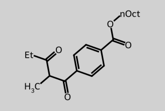 CCCCCCCCOC(=O)c1ccc(C(=O)C(C)C(=O)CC)cc1